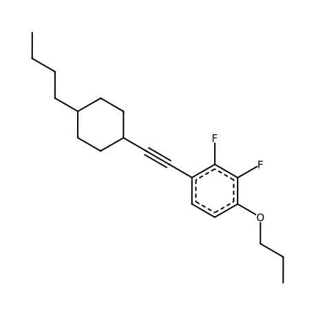 CCCCC1CCC(C#Cc2ccc(OCCC)c(F)c2F)CC1